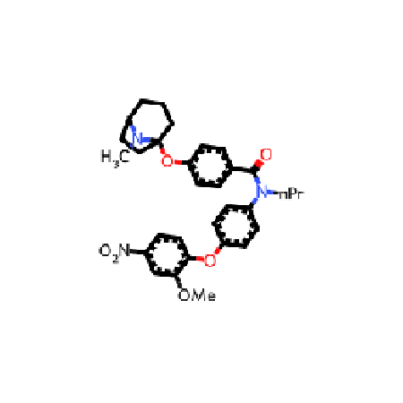 CCCN(C(=O)c1ccc(OC23CCCC(CC2)N3C)cc1)c1ccc(Oc2ccc([N+](=O)[O-])cc2OC)cc1